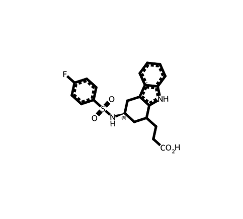 O=C(O)CCC1C[C@@H](NS(=O)(=O)c2ccc(F)cc2)Cc2c1[nH]c1ccccc21